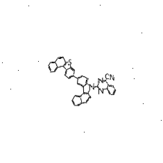 N#Cc1nc(-n2c3ccc(-c4ccc5c(c4)sc4ccc6ccccc6c45)cc3c3c4ccccc4ccc32)nc2ccccc12